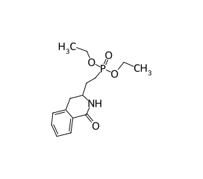 CCOP(=O)(CCC1Cc2ccccc2C(=O)N1)OCC